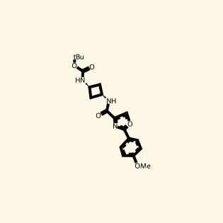 COc1ccc(-c2nc(C(=O)N[C@H]3C[C@@H](NC(=O)OC(C)(C)C)C3)co2)cc1